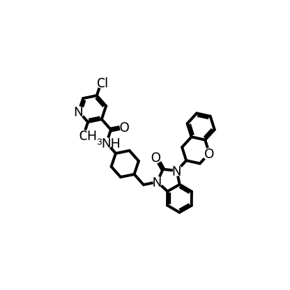 Cc1ncc(Cl)cc1C(=O)NC1CCC(Cn2c(=O)n(C3COc4ccccc4C3)c3ccccc32)CC1